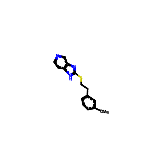 COc1cccc(CCSc2nc3cnccc3[nH]2)c1